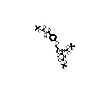 CN(CCCOc1ccc(C(=N)NC(=O)OC(C)(C)C)cc1)/C(=N\C(=O)OC(C)(C)C)NC(=O)OC(C)(C)C